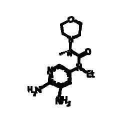 CCN(C(=O)[C@H](C)N1CCOCC1)c1cnc(N)c(N)c1